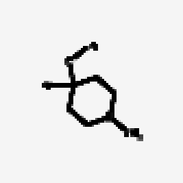 CC(C)OC1(C(C)C)CCN(C)CC1